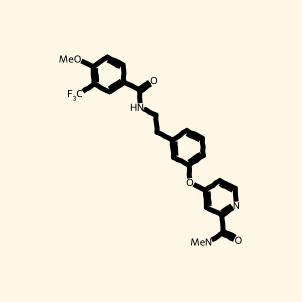 CNC(=O)c1cc(Oc2cccc(CCNC(=O)c3ccc(OC)c(C(F)(F)F)c3)c2)ccn1